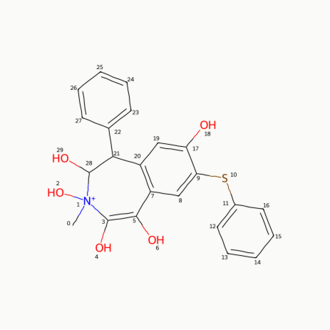 C[N+]1(O)C(O)=C(O)c2cc(Sc3ccccc3)c(O)cc2C(c2ccccc2)C1O